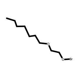 CCCCCCCOCCOBr